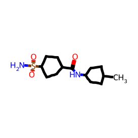 CC1CCC(NC(=O)C2CCC(S(N)(=O)=O)CC2)CC1